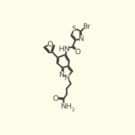 NC(=O)CCCn1cc2cc(NC(=O)c3csc(Br)n3)c(-c3ccoc3)cc2n1